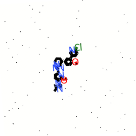 COc1ccc([C@H]2CCCn3nc(-c4ccc(-n5cnc(C)c5)c(OC)n4)nc32)cc1-c1ccc(Cl)nc1